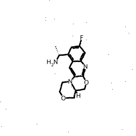 C[C@@H](N)c1cc(F)cc2nc3c(cc12)N1CCOC[C@H]1CO3